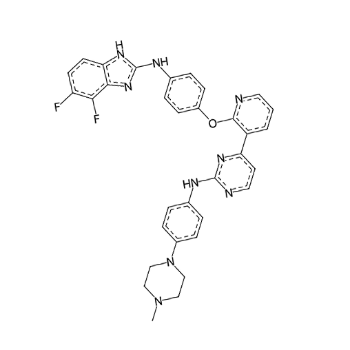 CN1CCN(c2ccc(Nc3nccc(-c4cccnc4Oc4ccc(Nc5nc6c(F)c(F)ccc6[nH]5)cc4)n3)cc2)CC1